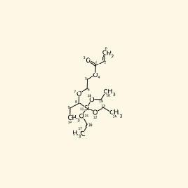 C=CC(=O)OCCOC(CC)[Si](OCC)(OCC)OCC